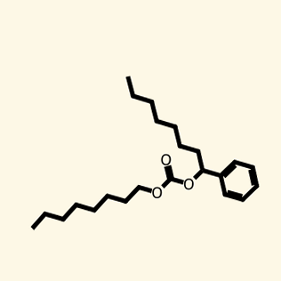 CCCCCCCCOC(=O)OC(CCCCCCC)c1ccccc1